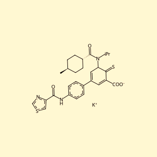 CC(C)N(C(=O)[C@H]1CC[C@H](C)CC1)C1C=C(c2ccc(NC(=O)c3cscn3)cc2)C=C(C(=O)[O-])C1=S.[K+]